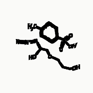 Cc1ccc(S(=O)(=O)O)cc1.[N-]=[N+]=NC(O)COCCO